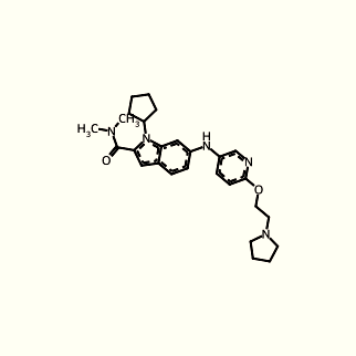 CN(C)C(=O)c1cc2ccc(Nc3ccc(OCCN4CCCC4)nc3)cc2n1C1CCCC1